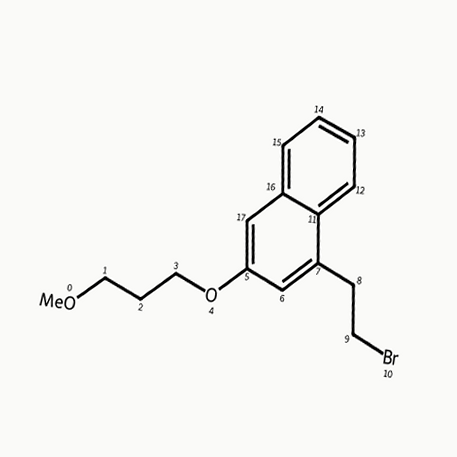 COCCCOc1cc(CCBr)c2ccccc2c1